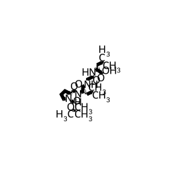 CC(C)C[C@H](NC(=O)CNC(=O)[C@H](CC(C)C)NC(=O)[C@@H]1CCCN1C(=O)OC(C)(C)C)C(=O)O